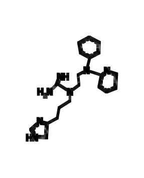 N=C(N)N(CCCc1c[nH]cn1)CCN(c1ccccc1)c1ccccn1